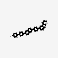 Fc1ccc(-c2ccc(-c3ccc4cc(-c5ccc(-c6ccc7sc8ncccc8c7c6)cc5)ccc4c3)cc2)cc1